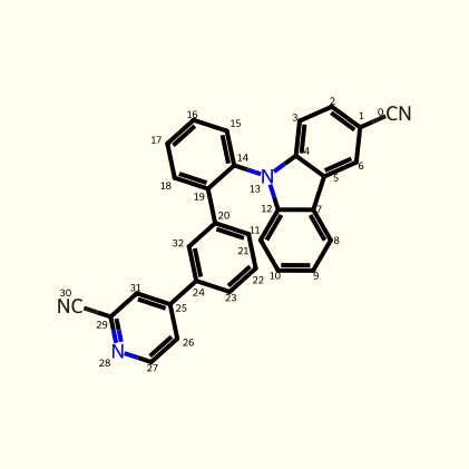 N#Cc1ccc2c(c1)c1ccccc1n2-c1ccccc1-c1cccc(-c2ccnc(C#N)c2)c1